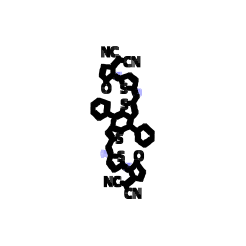 N#CC(C#N)=C1C=CC(=O)/C1=c1/cc/c(=C/c2cc3c(-c4ccccc4)c4sc(/C=c5/cc/c(=C6/C(=O)C=CC6=C(C#N)C#N)s5)cc4c(-c4ccccc4)c3s2)s1